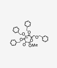 CO[C@H]1O[C@H](COCc2ccccc2)[C@@H](OCc2ccccc2)[C@H](OCc2ccccc2)[C@@H](OCc2ccccc2)C1=O